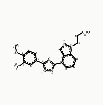 CC(C)Oc1ccc(-c2nc(-c3cccc4c3cnn4CCC=O)no2)cc1C(F)(F)F